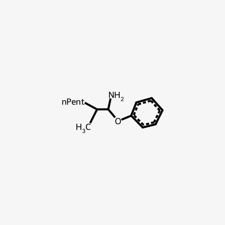 CCCCCC(C)C(N)Oc1ccccc1